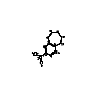 O=[N+]([O-])c1cnc2c(c1)CCCCC2